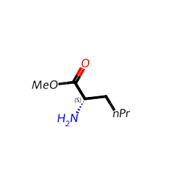 [CH2]OC(=O)[C@@H](N)CCCC